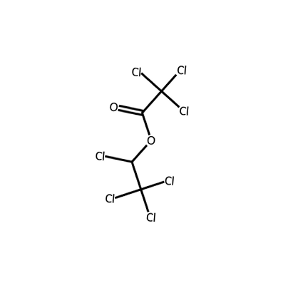 O=C(OC(Cl)C(Cl)(Cl)Cl)C(Cl)(Cl)Cl